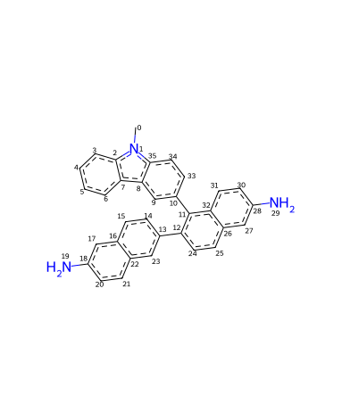 Cn1c2ccccc2c2cc(-c3c(-c4ccc5cc(N)ccc5c4)ccc4cc(N)ccc34)ccc21